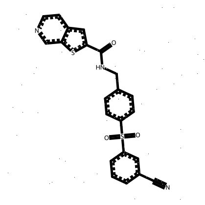 N#Cc1cccc(S(=O)(=O)c2ccc(CNC(=O)c3cc4ccncc4s3)cc2)c1